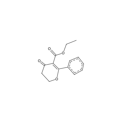 CCOC(=O)C1=C(c2ccccc2)OCCC1=O